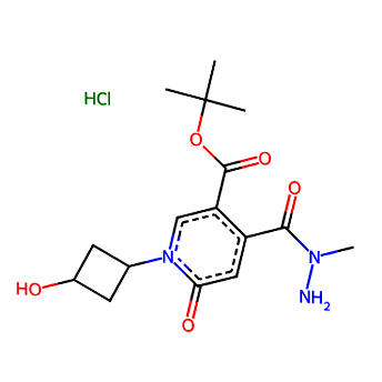 CN(N)C(=O)c1cc(=O)n(C2CC(O)C2)cc1C(=O)OC(C)(C)C.Cl